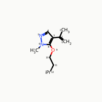 C=C(C)c1cnn(C)c1OCCC(C)C